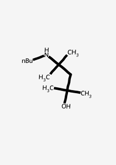 CCCCNC(C)(C)CC(C)(C)O